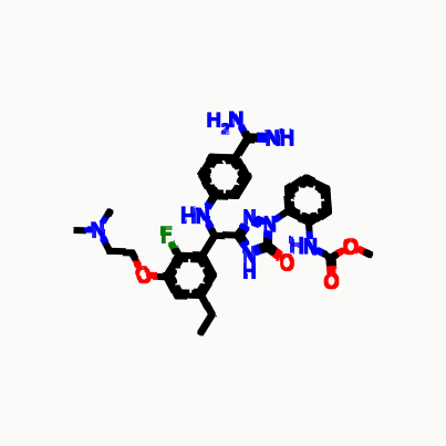 CCc1cc(OCCN(C)C)c(F)c(C(Nc2ccc(C(=N)N)cc2)c2nn(-c3ccccc3NC(=O)OC)c(=O)[nH]2)c1